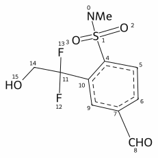 CNS(=O)(=O)c1ccc(C=O)cc1C(F)(F)CO